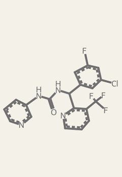 O=C(Nc1cccnc1)NC(c1cc(F)cc(Cl)c1)c1ncccc1C(F)(F)F